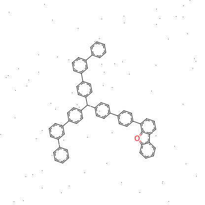 c1ccc(-c2cccc(-c3ccc(C(c4ccc(-c5ccc(-c6cccc7c6oc6ccccc67)cc5)cc4)c4ccc(-c5cccc(-c6ccccc6)c5)cc4)cc3)c2)cc1